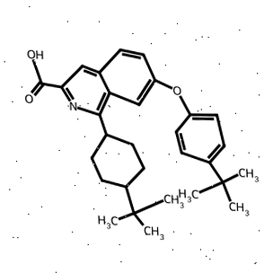 CC(C)(C)c1ccc(Oc2ccc3cc(C(=O)O)nc(C4CCC(C(C)(C)C)CC4)c3c2)cc1